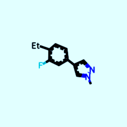 CCc1ccc(-c2cnn(C)c2)cc1F